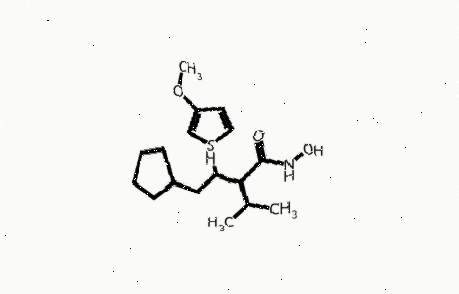 COC1=C[SH](C(CC2CCCC2)C(C(=O)NO)C(C)C)C=C1